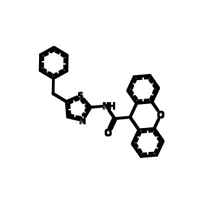 O=C(Nc1ncc(Cc2ccccc2)s1)C1c2ccccc2Oc2ccccc21